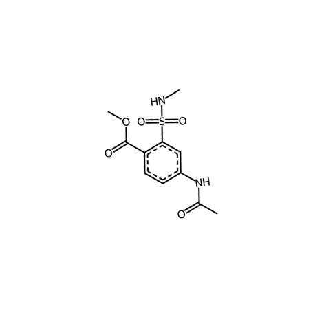 CNS(=O)(=O)c1cc(NC(C)=O)ccc1C(=O)OC